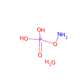 NOP(=O)(O)O.O